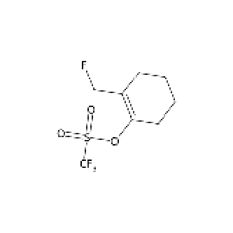 O=S(=O)(OC1=C(CF)CCCC1)C(F)(F)F